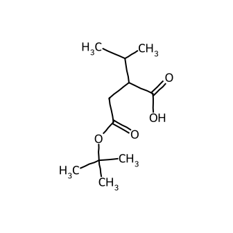 CC(C)C(CC(=O)OC(C)(C)C)C(=O)O